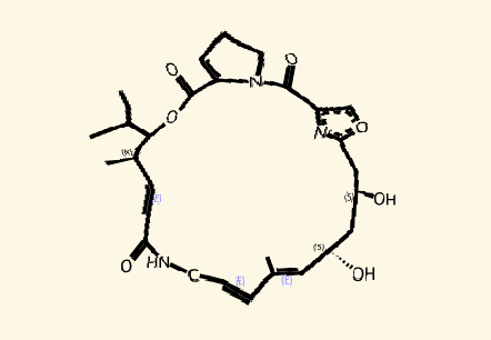 CC1=C\[C@@H](O)C[C@H](O)Cc2nc(co2)C(=O)N2CCC=C2C(=O)OC(C(C)C)[C@H](C)/C=C/C(=O)NC\C=C\1